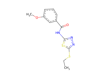 CCSc1nnc(NC(=O)c2cccc(OC)c2)s1